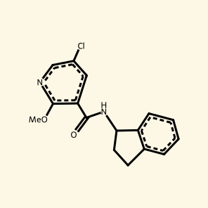 COc1ncc(Cl)cc1C(=O)NC1CCc2ccccc21